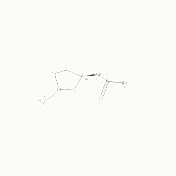 CC(C)C(=O)N[C@@H]1CCN(C)C1